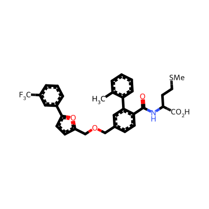 CSCCC(NC(=O)c1ccc(COCc2ccc(-c3cccc(C(F)(F)F)c3)o2)cc1-c1ccccc1C)C(=O)O